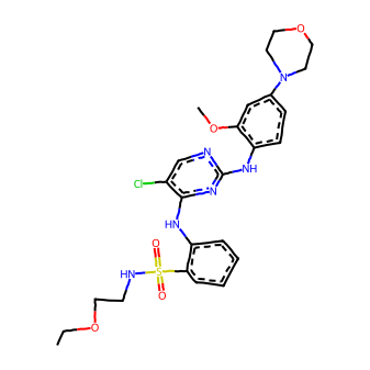 CCOCCNS(=O)(=O)c1ccccc1Nc1nc(Nc2ccc(N3CCOCC3)cc2OC)ncc1Cl